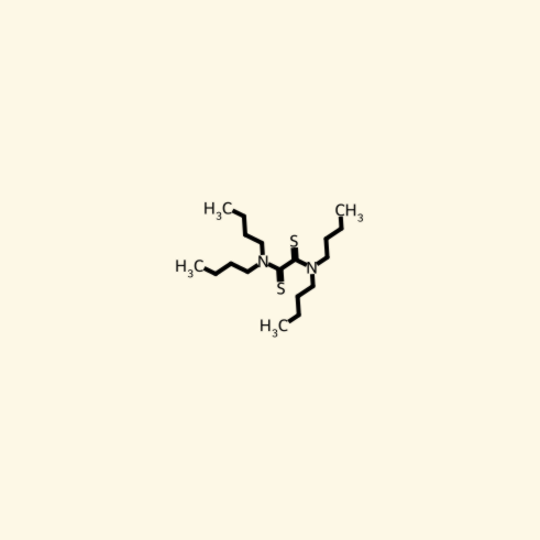 CCCCN(CCCC)C(=S)C(=S)N(CCCC)CCCC